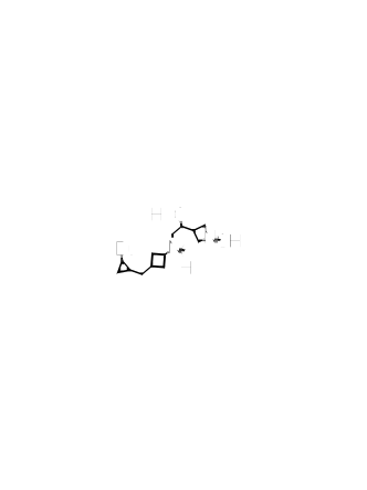 CCC1CC1CC1CC(N(C)CC(C)C2CN(C)C2)C1